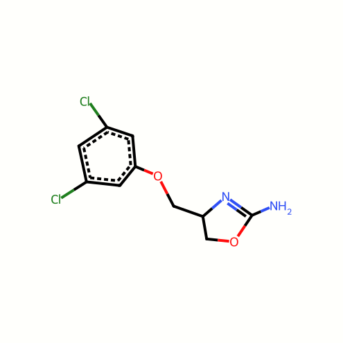 NC1=NC(COc2cc(Cl)cc(Cl)c2)CO1